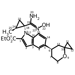 CCOC(=O)c1cc2cc([C@@H]3CCOC4(CC4)C3)ccc2n1[C@@]1(C(N)=NO)C[C@@H]1C